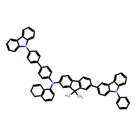 CC1(C)c2cc(-c3ccc4c(c3)c3ccccc3n4-c3ccccc3)ccc2-c2ccc(N(c3ccc(-c4ccc(-n5c6ccccc6c6ccccc65)cc4)cc3)c3cccc4c3C=CCC4)cc21